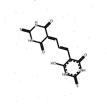 O=C1NC(=S)NC(=O)C1=CC=Cc1c(O)[nH]c(=S)[nH]c1=O